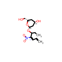 C=C/C=C(\C(CC)O[C@H]1C[C@@H](O)C[C@@H](CO)O1)[N+](=O)[O-]